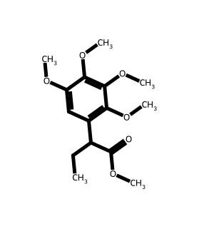 CCC(C(=O)OC)c1cc(OC)c(OC)c(OC)c1OC